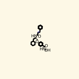 O=C(/C=C/c1ccccc1)N[C@H](COc1ccc(C(=O)NO)cc1)CC1CCCCC1